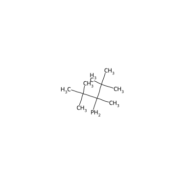 CC(C)(C)C(C)(P)C(C)(C)C